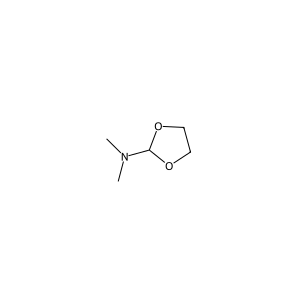 CN(C)C1OCCO1